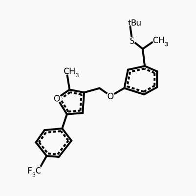 Cc1oc(-c2ccc(C(F)(F)F)cc2)cc1COc1cccc(C(C)SC(C)(C)C)c1